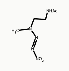 [CH2]C(=O)NCCN(C)N=N[N+](=O)[O-]